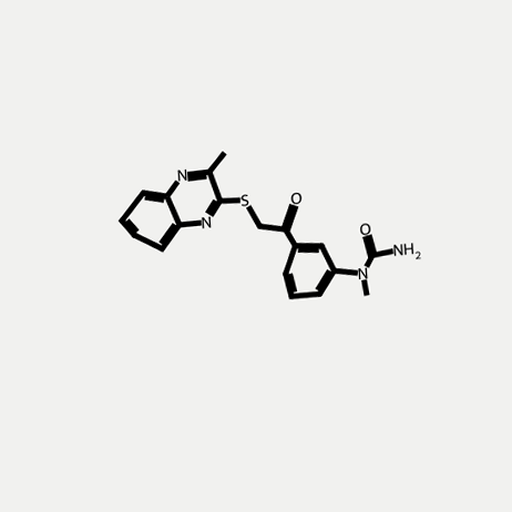 Cc1nc2ccccc2nc1SCC(=O)c1cccc(N(C)C(N)=O)c1